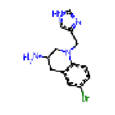 NC1Cc2cc(Br)ccc2N(Cc2c[nH]cn2)C1